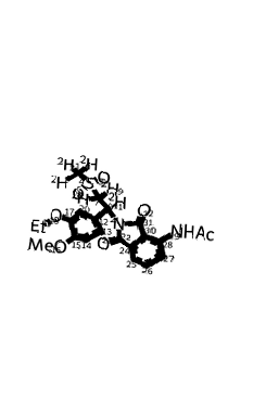 [2H]C([2H])([2H])S(=O)(=O)C([2H])([2H])[C@]([2H])(c1ccc(OC)c(OCC)c1)N1C(=O)c2cccc(NC(C)=O)c2C1=O